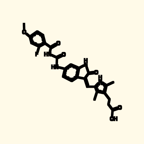 COc1ccc(C(=O)NC(=O)Nc2ccc3c(c2)NC(=O)C3=Cc2[nH]c(C)c(CCC(=O)O)c2C)c(F)c1